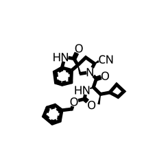 C[C@H](C1CCC1)[C@H](NC(=O)OCc1ccccc1)C(=O)N1C[C@]2(C[C@H]1C#N)C(=O)Nc1ccccc12